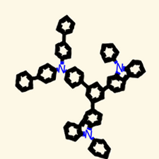 c1ccc(-c2ccc(N(c3ccc(-c4ccccc4)cc3)c3ccc(-c4cc(-c5ccc6c(c5)c5ccccc5n6-c5ccccc5)cc(-c5ccc6c7ccccc7n(-c7ccccc7)c6c5)c4)cc3)cc2)cc1